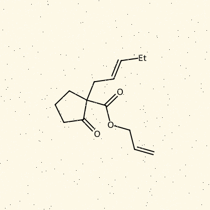 C=CCOC(=O)C1(C/C=C/CC)CCCC1=O